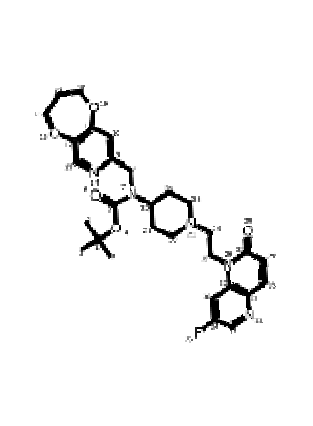 CC(C)(C)OC(=O)N(Cc1cc2c(cn1)OCCCO2)C1CCN(CCn2c(=O)ccc3ncc(F)cc32)CC1